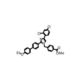 CCOc1ccc(-c2ccc(-c3nc(-c4ccc(Cl)cc4Cl)cn3Cc3ccc(C(=O)OC)cc3)cc2)cc1